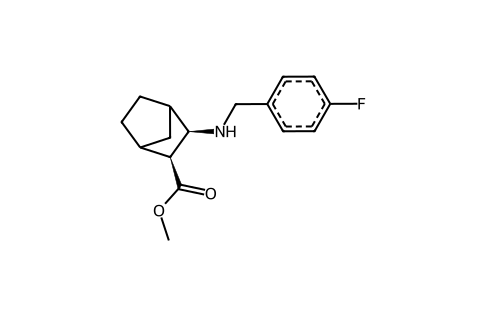 COC(=O)[C@H]1C2CCC(C2)[C@H]1NCc1ccc(F)cc1